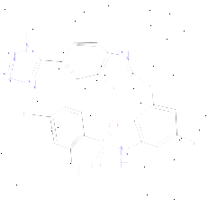 O=S(=O)(Nc1cc(Cl)cc(Sc2nc3ccc(-c4nnn[nH]4)cc3s2)c1)c1ccc(C(F)(F)F)cc1Cl